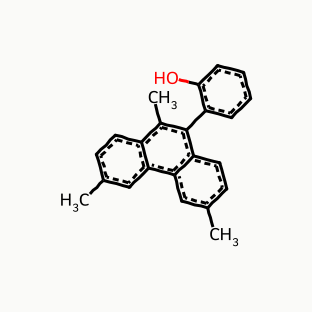 Cc1ccc2c(C)c(-c3ccccc3O)c3ccc(C)cc3c2c1